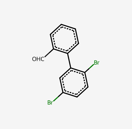 O=Cc1ccccc1-c1cc(Br)ccc1Br